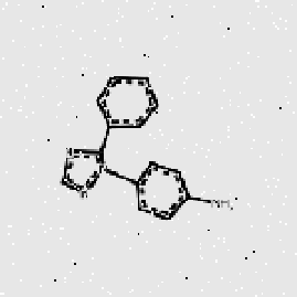 Nc1ccc(-n2ncnc2-c2ccccc2)cc1